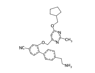 Cc1nc(COc2cc(C#N)ccc2-c2ccc(CCN)cc2)cc(OCC2CCCC2)n1